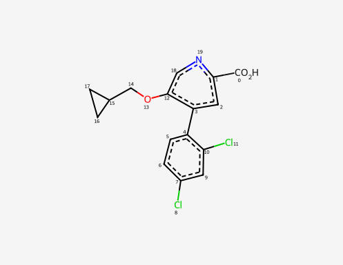 O=C(O)c1cc(-c2ccc(Cl)cc2Cl)c(OCC2CC2)cn1